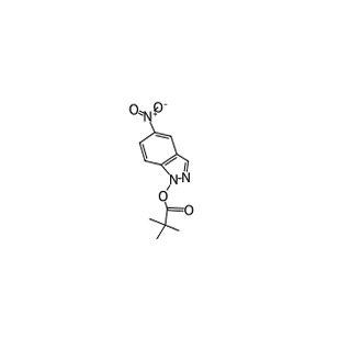 CC(C)(C)C(=O)On1ncc2cc([N+](=O)[O-])ccc21